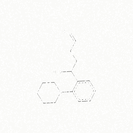 C=CCCC(N)c1ccccc1N1CCCCC1